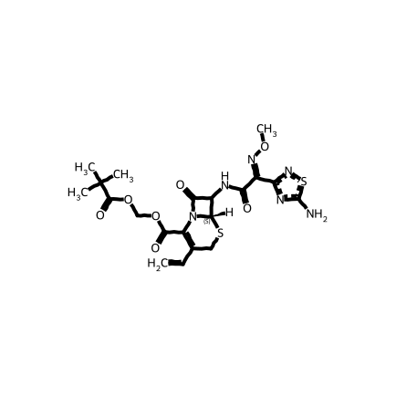 C=CC1=C(C(=O)OCOC(=O)C(C)(C)C)N2C(=O)C(NC(=O)C(=NOC)c3nsc(N)n3)[C@@H]2SC1